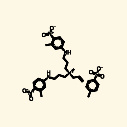 C=CC[N+](C)(CCCNc1ccc([N+](=O)[O-])c(C)c1)CCCNc1ccc([N+](=O)[O-])c(C)c1.Cc1ccc(S(=O)(=O)[O-])cc1